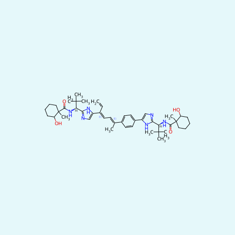 C=C/C(=C\C=C(/C)c1ccc(-c2cnc([C@@H](NC(=O)C3(C)CCCCC3O)C(C)(C)C)[nH]2)cc1)c1cnc([C@@H](NC(=O)C2(C)CCCCC2O)C(C)(C)C)[nH]1